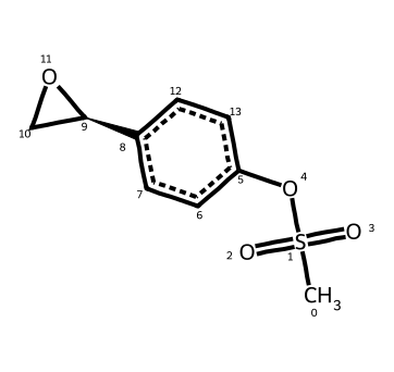 CS(=O)(=O)Oc1ccc([C@H]2CO2)cc1